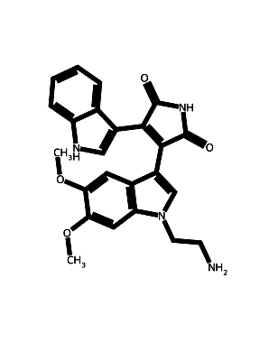 COc1cc2c(C3=C(c4c[nH]c5ccccc45)C(=O)NC3=O)cn(CCN)c2cc1OC